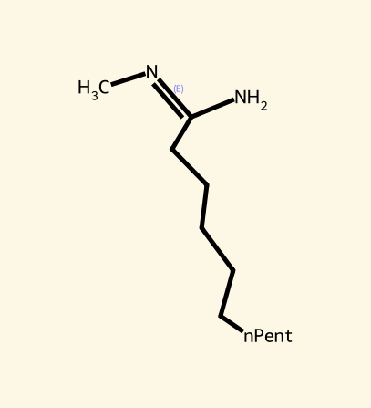 CCCCCCCCCC/C(N)=N\C